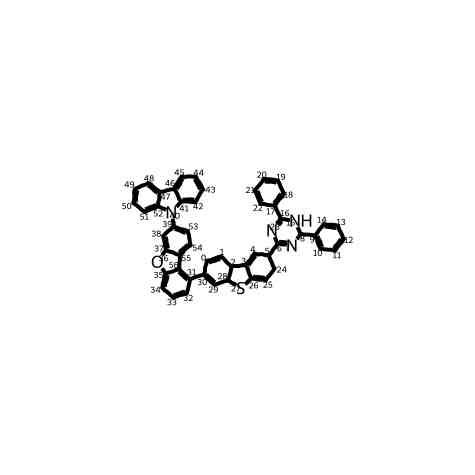 C1=CC2C3=CC(C4=NC(c5ccccc5)NC(c5ccccc5)=N4)CC=C3SC2C=C1c1cccc2oc3cc(-n4c5ccccc5c5ccccc54)ccc3c12